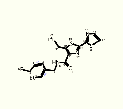 CC/C=C(\C=C/CF)CNC(=O)c1nc(-c2nccs2)sc1CC(C)C